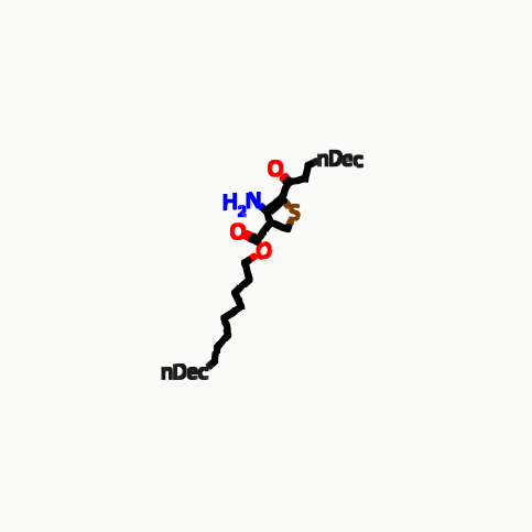 CCCCCCCCCCCCCCCCCCOC(=O)C1CSC(C(=O)CCCCCCCCCCCC)=C1N